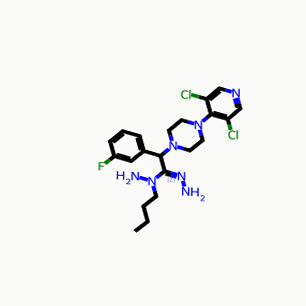 CCCCN(N)/C(=N\N)C(c1cccc(F)c1)N1CCN(c2c(Cl)cncc2Cl)CC1